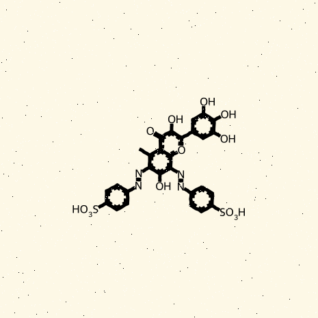 Cc1c(N=Nc2ccc(S(=O)(=O)O)cc2)c(O)c(N=Nc2ccc(S(=O)(=O)O)cc2)c2oc(-c3cc(O)c(O)c(O)c3)c(O)c(=O)c12